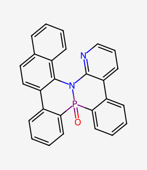 O=P12c3ccccc3-c3cccnc3N1c1c(ccc3ccccc13)-c1ccccc12